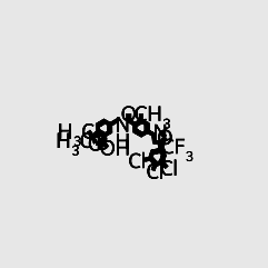 Cc1cc(C2=NOC(c3cc(Cl)c(Cl)c(Cl)c3)(C(F)(F)F)C2)ccc1C(=O)NCc1ccc2c(c1)B(O)OC2(C)C